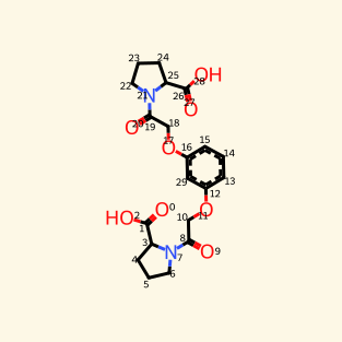 O=C(O)C1CCCN1C(=O)COc1cccc(OCC(=O)N2CCCC2C(=O)O)c1